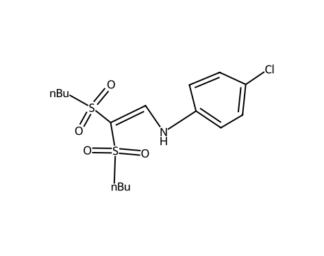 CCCCS(=O)(=O)C(=CNc1ccc(Cl)cc1)S(=O)(=O)CCCC